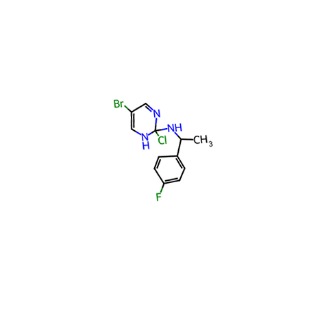 CC(NC1(Cl)N=CC(Br)=CN1)c1ccc(F)cc1